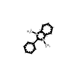 Cn1c(-c2ccccc2)[n+](C)c2ccccc21